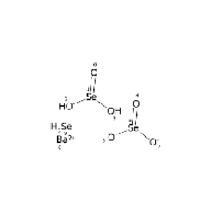 O=[Se](O)O.O=[Se]([O-])[O-].[Ba+2].[SeH2]